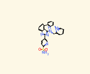 NS(=O)(=O)c1ccc(-c2nc(NCc3ccccn3)c3c(-c4ccccc4)cccc3n2)cn1